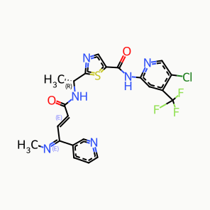 C/N=C(\C=C\C(=O)N[C@H](C)c1ncc(C(=O)Nc2cc(C(F)(F)F)c(Cl)cn2)s1)c1cccnc1